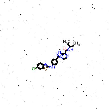 CCC(CC)NC(=O)c1nccn2c(-c3ccc(Nc4nc5ccc(Cl)cc5s4)cc3)nnc12